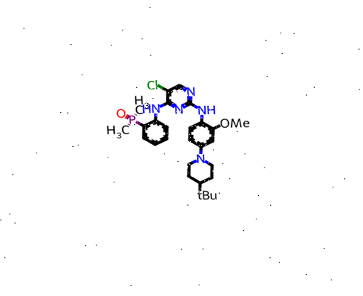 COc1cc(N2CCC(C(C)(C)C)CC2)ccc1Nc1ncc(Cl)c(Nc2ccccc2P(C)(C)=O)n1